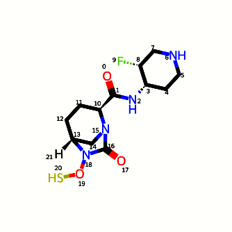 O=C(N[C@H]1CCNC[C@H]1F)[C@@H]1CC[C@@H]2CN1C(=O)N2OS